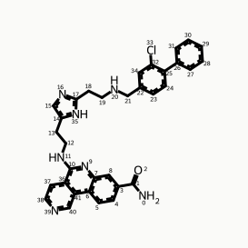 NC(=O)c1ccc2c(c1)nc(NCCc1cnc(CCNCc3ccc(-c4ccccc4)c(Cl)c3)[nH]1)c1ccncc12